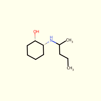 CCCC(C)N[C@@H]1CCCC[C@@H]1O